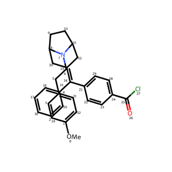 COc1ccc(CCN2C3CCC2CC(=C(c2ccccc2)c2ccc(C(=O)Cl)cc2)C3)cc1